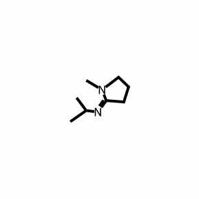 CC(C)/N=C1/CCCN1C